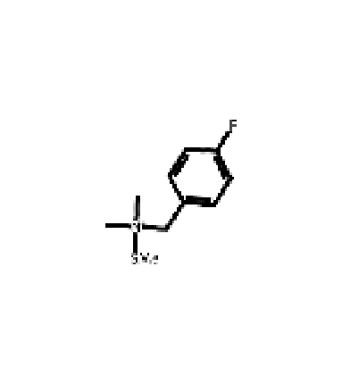 CS[N+](C)(C)Cc1ccc(F)cc1